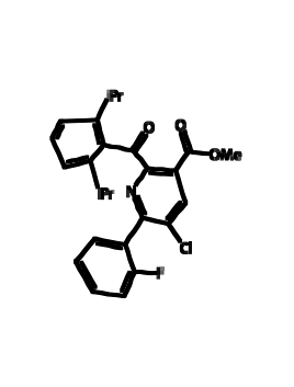 COC(=O)c1cc(Cl)c(-c2ccccc2F)nc1C(=O)c1c(C(C)C)cccc1C(C)C